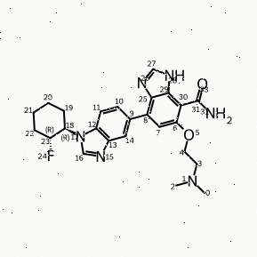 CN(C)CCOc1cc(-c2ccc3c(c2)ncn3[C@@H]2CCCC[C@H]2F)c2nc[nH]c2c1C(N)=O